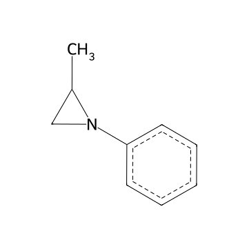 CC1CN1c1ccccc1